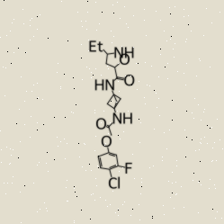 CCC1CC(C(=O)NC23CC(NC(=O)COc4ccc(Cl)c(F)c4)(C2)C3)ON1